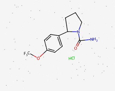 Cl.NC(=O)N1CCCC1c1ccc(OC(F)(F)F)cc1